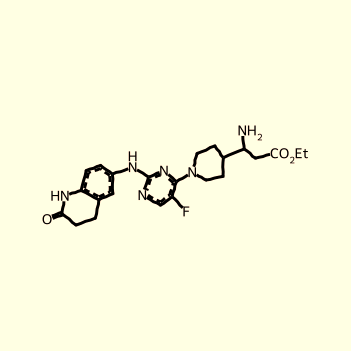 CCOC(=O)CC(N)C1CCN(c2nc(Nc3ccc4c(c3)CCC(=O)N4)ncc2F)CC1